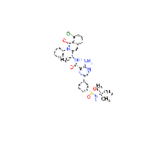 C[C@H](NC(=O)c1nc(-c2cccc(S(=O)(=O)NC(C)(C)C)c2)cnc1N)c1cc2cccc(Cl)c2c(=O)n1-c1ccccc1